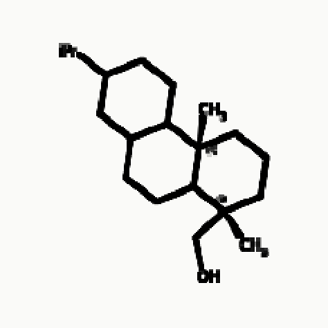 CC(C)C1CCC2C(CCC3[C@@](C)(CO)CCC[C@@]23C)C1